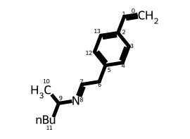 C=Cc1ccc(CC=NC(C)CCCC)cc1